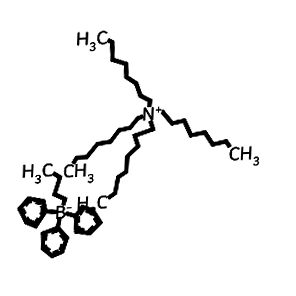 CCCCCCCC[N+](CCCCCCCC)(CCCCCCCC)CCCCCCCC.CCCC[B-](c1ccccc1)(c1ccccc1)c1ccccc1